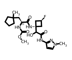 COC(=O)N[C@@H](CC1(C)CCCC1)C(=O)N[C@]1(C(O)C(=O)Nc2ccn(C)n2)C[C@@H](F)C1